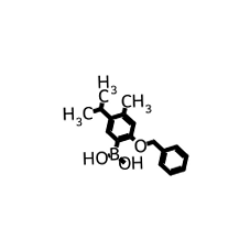 Cc1cc(OCc2ccccc2)c(B(O)O)cc1C(C)C